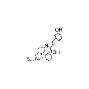 CN(C(=O)/C=C/c1cccc(O)c1)C1CCC2CN(CC3CC3)CCC2(c2cccc(O)c2)C1